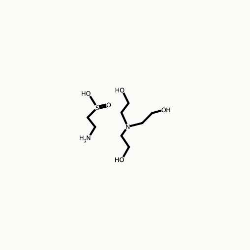 NCCS(=O)O.OCCN(CCO)CCO